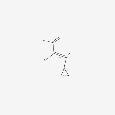 C=C(C)/C(F)=C(\C)C1CC1